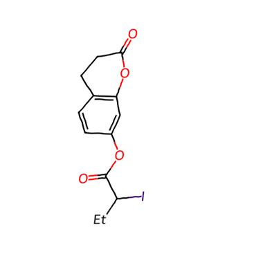 CCC(I)C(=O)Oc1ccc2c(c1)OC(=O)CC2